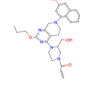 C=CC(=O)N1CCN(c2nc(OCCC)nc3c2CCN(c2cc(O)cc4ccccc24)C3)C(CO)C1